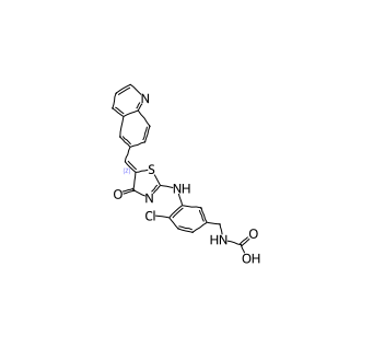 O=C(O)NCc1ccc(Cl)c(NC2=NC(=O)/C(=C/c3ccc4ncccc4c3)S2)c1